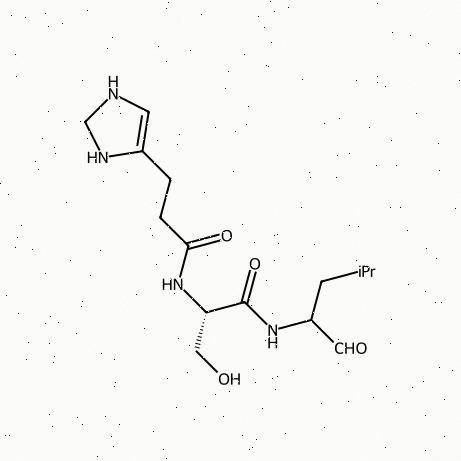 CC(C)CC(C=O)NC(=O)[C@H](CO)NC(=O)CCC1=CNCN1